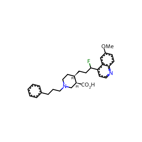 COc1ccc2nccc(C(F)CC[C@@H]3CCN(CCCc4ccccc4)C[C@@H]3C(=O)O)c2c1